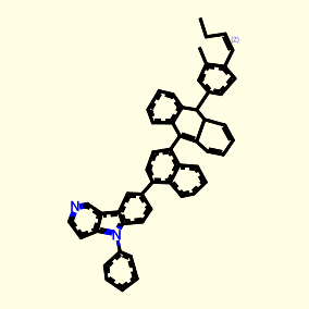 CC/C=C\c1ccc(C2c3ccccc3C(c3ccc(-c4ccc5c(c4)c4cnccc4n5-c4ccccc4)c4ccccc34)=C3C=CC=CC32)cc1C